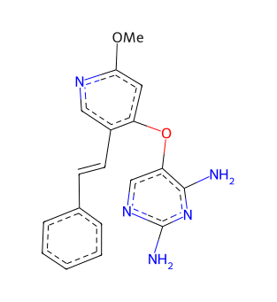 COc1cc(Oc2cnc(N)nc2N)c(C=Cc2ccccc2)cn1